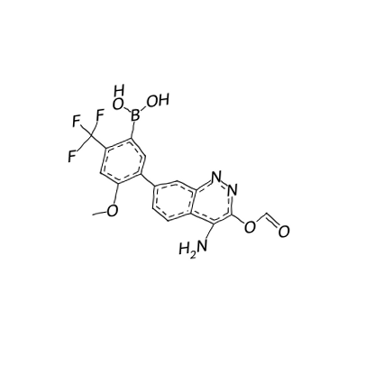 COc1cc(C(F)(F)F)c(B(O)O)cc1-c1ccc2c(N)c(OC=O)nnc2c1